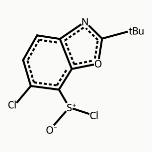 CC(C)(C)c1nc2ccc(Cl)c([S+]([O-])Cl)c2o1